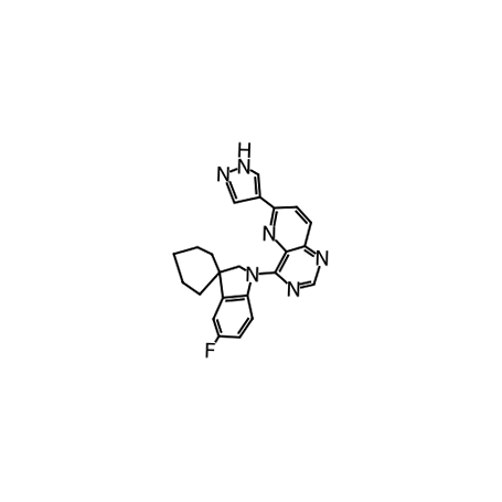 Fc1ccc2c(c1)C1(CCCCC1)CN2c1ncnc2ccc(-c3cn[nH]c3)nc12